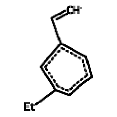 [CH]=Cc1cccc(CC)c1